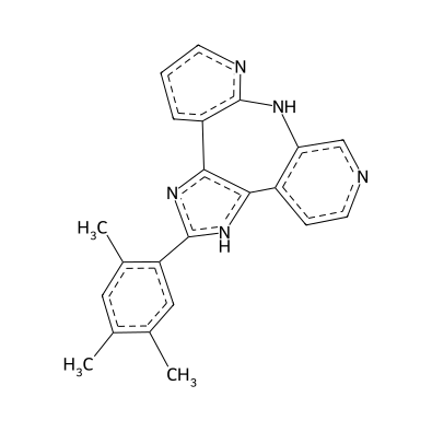 Cc1cc(C)c(-c2nc3c([nH]2)-c2ccncc2Nc2ncccc2-3)cc1C